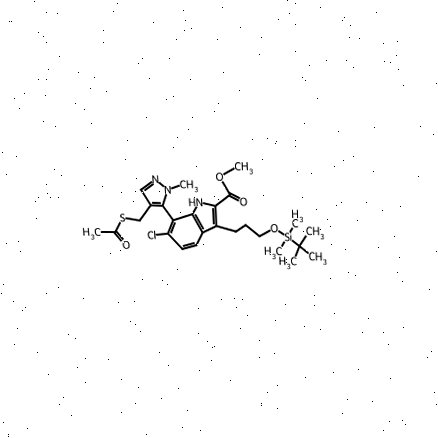 COC(=O)c1[nH]c2c(-c3c(CSC(C)=O)cnn3C)c(Cl)ccc2c1CCCO[Si](C)(C)C(C)(C)C